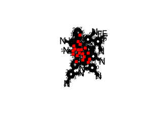 N#Cc1cc(-c2cc(-n3c4ccccc4c4cc(-c5ccc(C#N)cc5C#N)ccc43)c(-n3c4ccc(-c5ccc(C#N)cc5C#N)cc4c4ccc(-c5cc(C#N)cc(C#N)c5-c5ccc6c7ccccc7n(-c7cc(-c8cc(C#N)cc(C(F)(F)F)c8)c(C#N)cc7-n7c8ccccc8c8ccc(-c9ccc(C#N)cc9C#N)cc87)c6c5)cc43)cc2C#N)cc(C(F)(F)F)c1